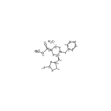 C[C@@H]1CN(Cc2ccccc2)[C@@H](CN2CCC(F)C2)CN1C(=O)OC(C)(C)C